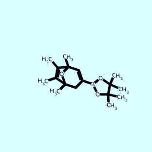 CC1=C(C)C2(C)CC(B3OC(C)(C)C(C)(C)O3)=CC1(C)O2